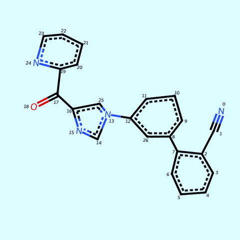 N#Cc1ccccc1-c1cccc(-n2cnc(C(=O)c3ccccn3)c2)c1